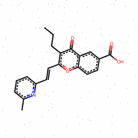 CCCc1c(C=Cc2cccc(C)n2)oc2ccc(C(=O)O)cc2c1=O